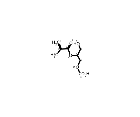 C=C(C)C(=O)OC(CO)COC(=O)O